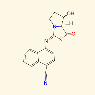 N#Cc1ccc(/N=C2\SC(=O)[C@@H]3[C@H](O)CCN23)c2ccccc12